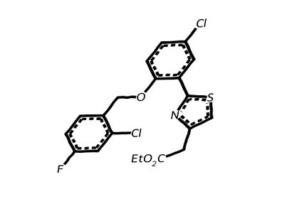 CCOC(=O)Cc1csc(-c2cc(Cl)ccc2OCc2ccc(F)cc2Cl)n1